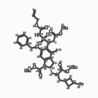 C=CCOC(=O)NS(=O)(=O)N(CC(=O)OC(C)(C)C)c1c(OCc2ccccc2)cc2c(c1F)C[C@H](CN(CC1CC(C(C)C)C1)C(=O)OC(C)(C)C)N2C(=O)OC(C)(C)C